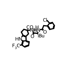 CCC(C)[C@H](NC(=O)Cc1ccccc1Cl)C(=O)N[C@]1(C(=O)O)CCc2[nH]c3c(C(F)(F)F)cccc3c2C1